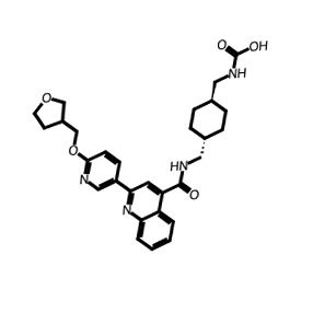 O=C(O)NC[C@H]1CC[C@H](CNC(=O)c2cc(-c3ccc(OCC4CCOC4)nc3)nc3ccccc23)CC1